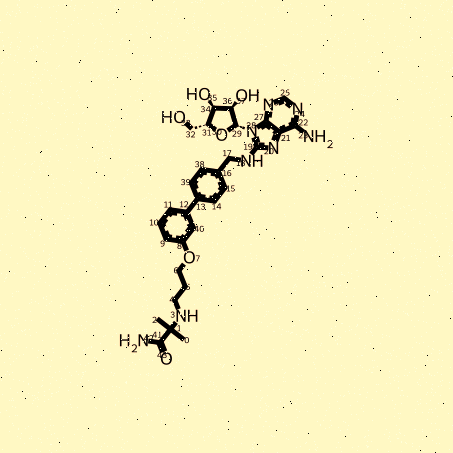 CC(C)(NCCCOc1cccc(-c2ccc(CNc3nc4c(N)ncnc4n3[C@@H]3O[C@H](CO)[C@@H](O)[C@H]3O)cc2)c1)C(N)=O